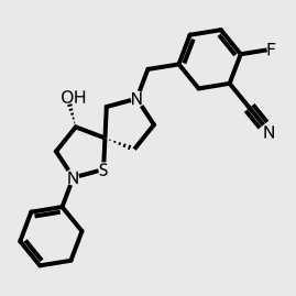 N#CC1CC(CN2CC[C@]3(C2)SN(C2=CC=CCC2)C[C@@H]3O)=CC=C1F